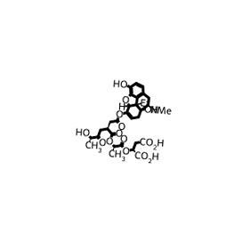 CC[C@]12c3c4ccc(O)c3O[C@H]1C(OC(=O)C[C@H](CC(=O)[C@H](C)O)C(=O)O[C@@H](C)C(=O)O[C@@H](CC(=O)O)C(=O)O)=CC[C@@]2(O)[C@H](NC)C4